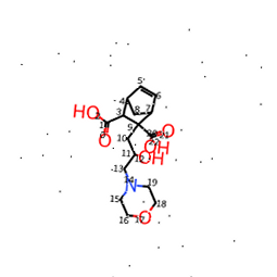 O=C(O)C1C2C=CC(C2)C1(CC(O)CN1CCOCC1)C(=O)O